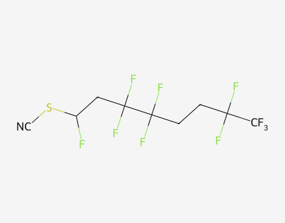 N#CSC(F)CC(F)(F)C(F)(F)CCC(F)(F)C(F)(F)F